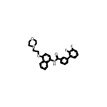 O=C(Nc1ccc(OCCN2CCOCC2)c2ccccc12)c1cccc(-c2cccc(F)c2F)c1